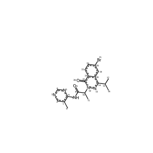 Cc1cncnc1NC(=O)C(C)n1nc(C(C)C)c2cc(Br)ccc2c1=O